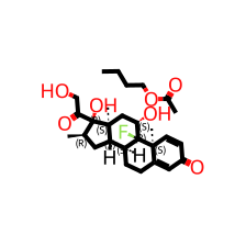 CCCCOC(C)=O.C[C@@H]1C[C@H]2[C@@H]3CCC4=CC(=O)C=C[C@]4(C)[C@@]3(F)[C@@H](O)C[C@]2(C)[C@@]1(O)C(=O)CO